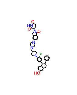 O=C1CCC(N2Cc3cc(N4CCN(CC5CCN(c6ccc(C7c8ccc(O)cc8CCC7c7ccccc7)cc6F)CC5)CC4)ccc3C2=O)C(=O)N1